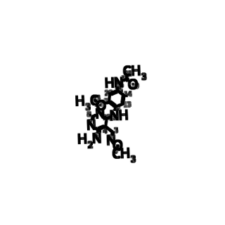 CON=Cc1c(N)ncnc1Nc1ccc(NC(C)=O)cc1OC